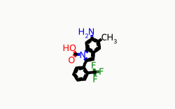 Cc1cc2cc(-c3ccccc3C(F)(F)F)n(C(=O)O)c2cc1N